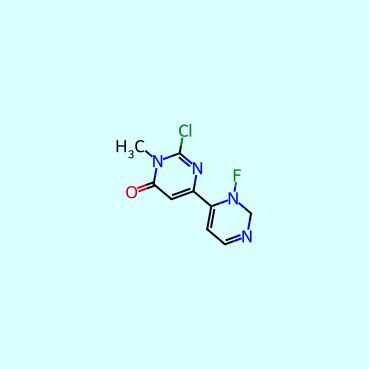 Cn1c(Cl)nc(C2=CC=NCN2F)cc1=O